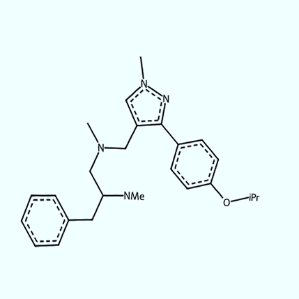 CNC(Cc1ccccc1)CN(C)Cc1cn(C)nc1-c1ccc(OC(C)C)cc1